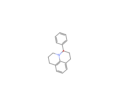 c1ccc(C[N+]23CCCc4cccc(c42)CCC3)cc1